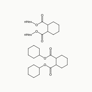 CCCCCCOC(=O)C1CCCCC1C(=O)OCCCCCC.O=C(OC1CCCCC1)C1CCCCC1C(=O)OC1CCCCC1